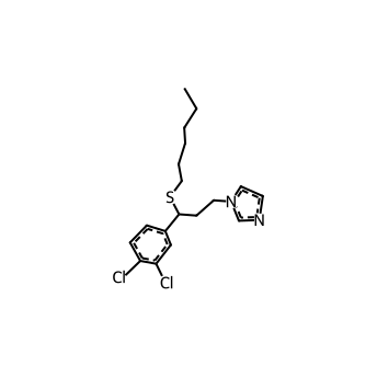 CCCCCCSC(CCn1ccnc1)c1ccc(Cl)c(Cl)c1